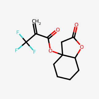 C=C(C(=O)OC12CCCCC1OC(=O)C2)C(F)(F)F